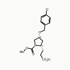 CCOC(=O)CC[C@H]1C[C@@H](OCc2ccc(Cl)cc2)CN1C(=O)OC(C)(C)C